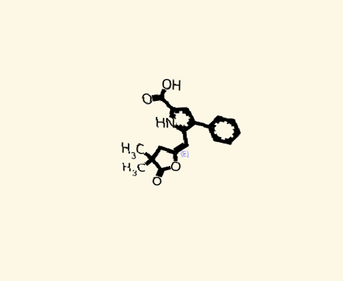 CC1(C)C/C(=C\c2[nH]c(C(=O)O)cc2-c2ccccc2)OC1=O